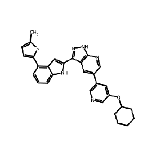 Cc1ccc(-c2cccc3[nH]c(-c4n[nH]c5ncc(-c6cncc(OC7CCCCC7)c6)cc45)cc23)s1